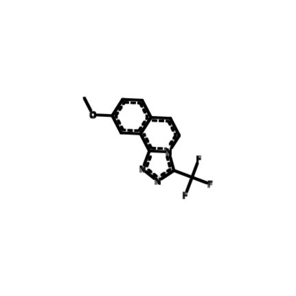 COc1ccc2ccn3c(C(F)(F)F)nnc3c2c1